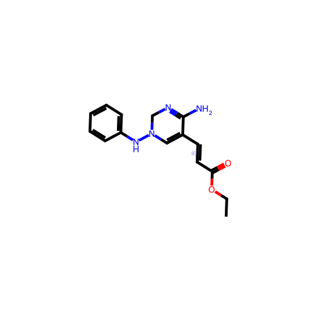 CCOC(=O)/C=C/C1=CN(Nc2ccccc2)CN=C1N